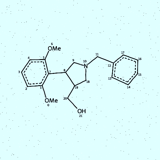 COc1cccc(OC)c1C1CN(Cc2ccccc2)CC1CO